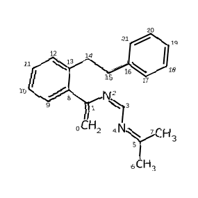 C=C(/N=C\N=C(C)C)c1ccccc1CCc1ccccc1